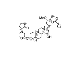 COC(C[C@@H](C)[C@H]1C[C@H](O)[C@@]2(C)C3CC[C@H]4C(C)(C)[C@@H](O[C@H]5CN([C@@H]6CCNC6=O)CCO5)CC[C@@]45C[C@@]35CC[C@]12C)[C@H](OC(=O)N1CCC1)C(C)C